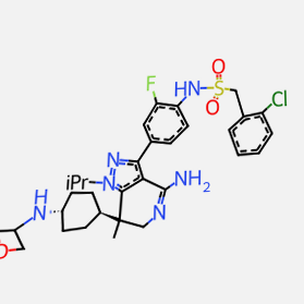 CC(C)n1nc(-c2ccc(NS(=O)(=O)Cc3ccccc3Cl)c(F)c2)c2c1C(C)([C@H]1CC[C@H](NC3COC3)CC1)CN=C2N